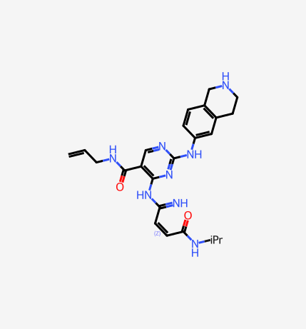 C=CCNC(=O)c1cnc(Nc2ccc3c(c2)CCNC3)nc1NC(=N)/C=C\C(=O)NC(C)C